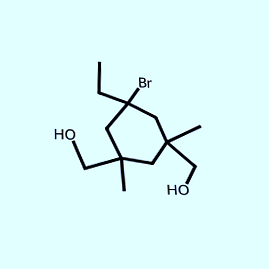 CCC1(Br)CC(C)(CO)CC(C)(CO)C1